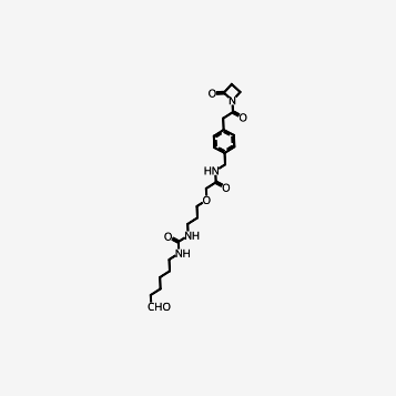 O=CCCCCCNC(=O)NCCCOCC(=O)NCc1ccc(CC(=O)N2CCC2=O)cc1